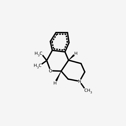 CN1CC[C@H]2c3ccccc3C(C)(C)O[C@H]2C1